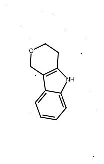 c1ccc2c3c([nH]c2c1)CCOC3